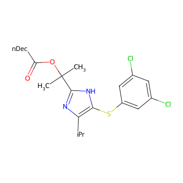 CCCCCCCCCCC(=O)OC(C)(C)c1nc(C(C)C)c(Sc2cc(Cl)cc(Cl)c2)[nH]1